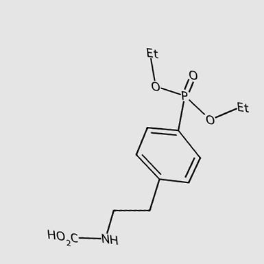 CCOP(=O)(OCC)c1ccc(CCNC(=O)O)cc1